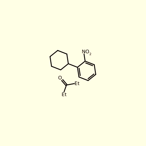 CCC(=O)CC.O=[N+]([O-])c1ccccc1C1CCCCC1